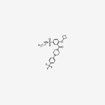 CCNS(=O)(=O)c1ccc(OC2CCC2)c(C(=O)N2CCN(c3ccc(C(F)(F)F)cc3)CC2)c1